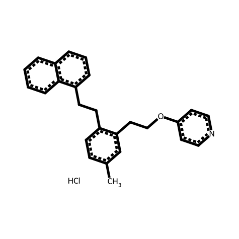 Cc1ccc(CCc2cccc3ccccc23)c(CCOc2ccncc2)c1.Cl